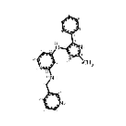 Cc1nc(-c2ccccc2)c(Oc2ccnc(NCc3cccnc3)c2)s1